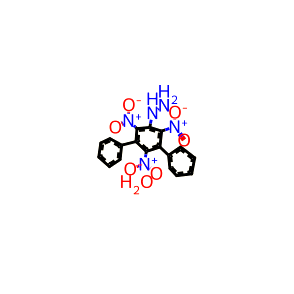 NNc1c([N+](=O)[O-])c(-c2ccccc2)c([N+](=O)[O-])c(-c2ccccc2)c1[N+](=O)[O-].O